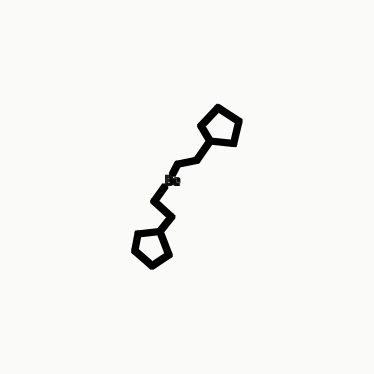 [Be]([CH2]CC1CCCC1)[CH2]CC1CCCC1